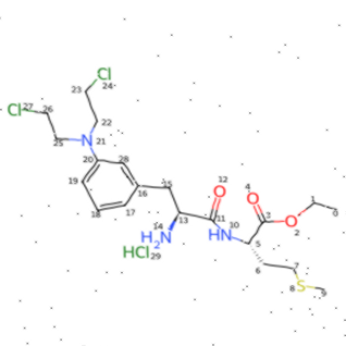 CCOC(=O)[C@H](CCSC)NC(=O)[C@@H](N)Cc1cccc(N(CCCl)CCCl)c1.Cl